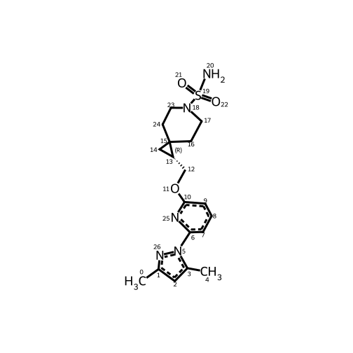 Cc1cc(C)n(-c2cccc(OC[C@@H]3CC34CCN(S(N)(=O)=O)CC4)n2)n1